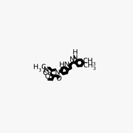 CN(C)CCCN(C(=O)C1CCOC1)c1ccc2cc(-c3n[nH]c4c3CCC(C)(C)C4)[nH]c2c1